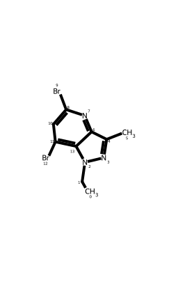 CCn1nc(C)c2nc(Br)cc(Br)c21